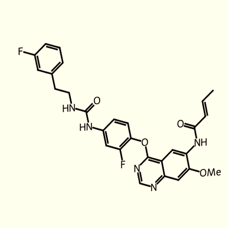 C/C=C/C(=O)Nc1cc2c(Oc3ccc(NC(=O)NCCc4cccc(F)c4)cc3F)ncnc2cc1OC